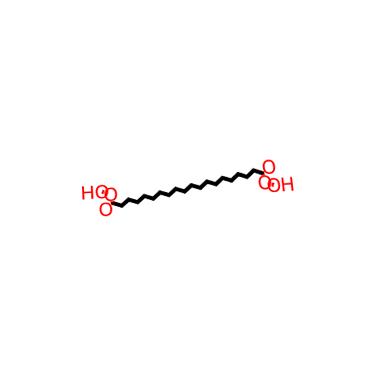 O=C(CCCCCCCCCCCCCCCCCCC(=O)OO)OO